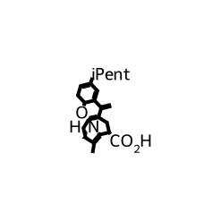 C=C1C2=CC(C(C)CCC)=CCC2OC2=C1CC(C(=O)O)/C(N)=C(\C)CC2